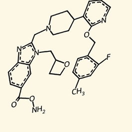 Cc1ccc(COc2ncccc2C2CCN(Cc3nc4ccc(C(=O)ON)cc4n3CC3CCO3)CC2)c(F)c1